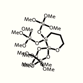 CO[Si](OC)(OC)O[Si]1(O[Si](OC)(OC)OC)CCCO[Si]1(O[Si](OC)(OC)OC)O[Si](OC)(OC)OC